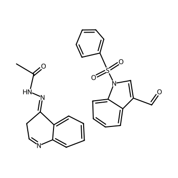 CC(=O)NN=C1CC=Nc2ccccc21.O=Cc1cn(S(=O)(=O)c2ccccc2)c2ccccc12